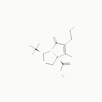 COC(=O)[C@@]12CO[C@@H](C(C)(C)C)N1C(=O)C(CCO)=C2C